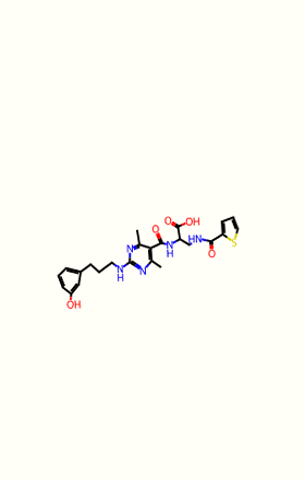 Cc1nc(NCCCc2cccc(O)c2)nc(C)c1C(=O)NC(CNC(=O)c1cccs1)C(=O)O